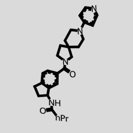 CCCC(=O)NC1CCc2ccc(C(=O)N3CCC4(CCN(c5ccncc5)CC4)C3)cc21